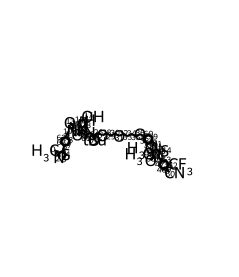 Cc1ncsc1-c1ccc(CNC(=O)[C@@H]2C[C@@H](O)CN2C(=O)C(NC(=O)COCCCOCCCCOc2ccc(CN3C(=S)N(c4ccc(C#N)c(C(F)(F)F)c4)C(=O)C3(C)C)cc2)C(C)(C)C)cc1